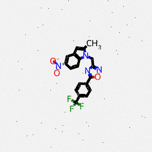 Cc1cc2cc([N+](=O)[O-])ccc2n1Cc1noc(-c2ccc(C(F)(F)F)cc2)n1